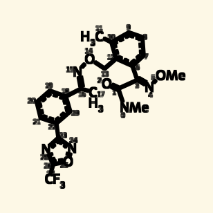 CNC(=O)/C(=N/OC)c1cccc(C)c1CO/N=C(\C)c1cccc(-c2noc(C(F)(F)F)n2)c1